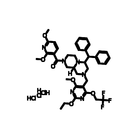 CCOc1nc(OC)c(CN2CC(C(c3ccccc3)c3ccccc3)N3CCN(C(=O)c4ccc(OC)nc4OC)C[C@H]3C2)c(OCC(F)(F)F)n1.Cl.Cl.Cl